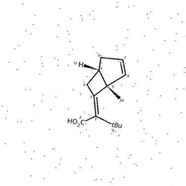 CC(C)(C)/C(C(=O)O)=C1/C[C@@H]2CC=C[C@]12C